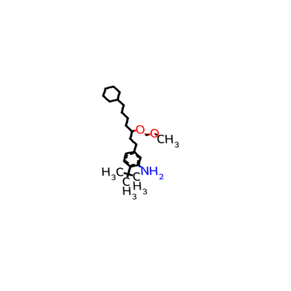 COCOC(CCCCC1CCCCC1)CCc1ccc(C(C)(C)C)c(N)c1